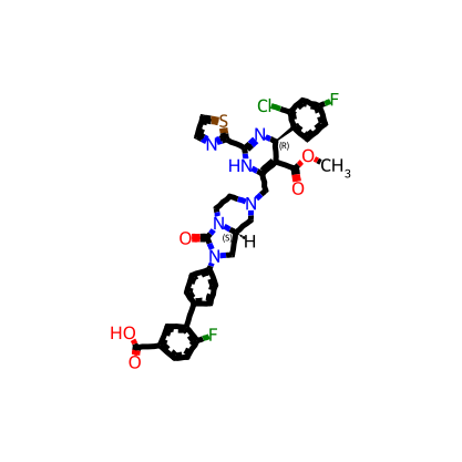 COC(=O)C1=C(CN2CCN3C(=O)N(c4ccc(-c5cc(C(=O)O)ccc5F)cc4)C[C@@H]3C2)NC(c2nccs2)=N[C@H]1c1ccc(F)cc1Cl